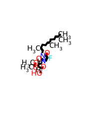 CC(C)=CCC/C(C)=C/CC/C(C)=C/Cn1c(=O)c(F)cn([C@@H]2O[C@H](CO)[C@@H]3OC(C)(C)O[C@@H]32)c1=O